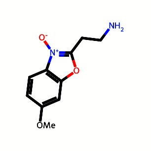 COc1ccc2c(c1)oc(CCN)[n+]2[O-]